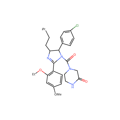 CCOc1cc(OC)ccc1C1=NC(CCC(C)C)C(c2ccc(Cl)cc2)N1C(=O)N1CCNC(=O)C1